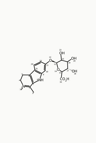 CC1=[N+](C)CCc2c1[nH]c1cc(O[C@@H]3OC(C(=O)O)[C@@H](O)C(O)C3O)ccc21